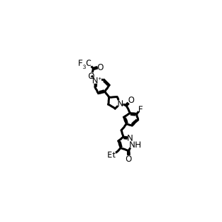 CCc1cc(Cc2ccc(F)c(C(=O)N3CCC(c4cc[n+](OC(=O)C(F)(F)F)cc4)C3)c2)n[nH]c1=O